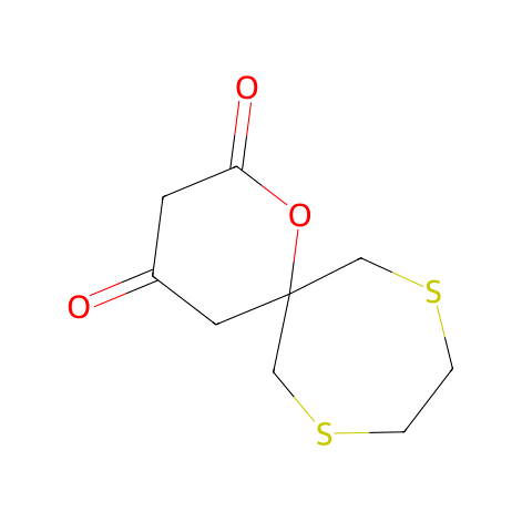 O=C1CC(=O)OC2(CSCCSC2)C1